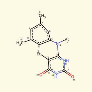 CCc1c(N(C(C)=O)c2cc(C)cc(C)c2)[nH]c(=O)[nH]c1=O